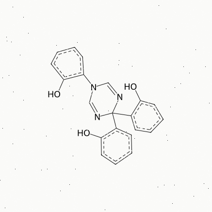 Oc1ccccc1N1C=NC(c2ccccc2O)(c2ccccc2O)N=C1